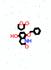 O=C1CCc2c(O)ccc(OCc3ccccc3)c2N1.[O]C1CCCCO1